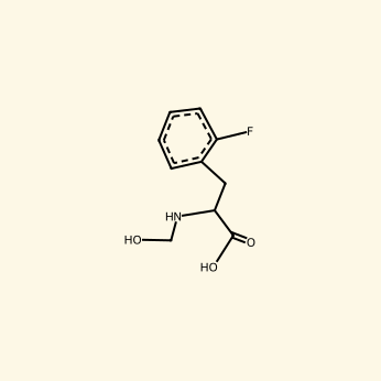 O=C(O)C(Cc1ccccc1F)NCO